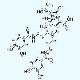 C[C@@H](O)[C@H]1C(=O)N2C(C(=O)O)=C(CN(CCCNC(=O)c3ccc(O)c(O)c3)CCCNC(=O)c3ccc(O)c(O)c3)[C@H](C)[C@H]12